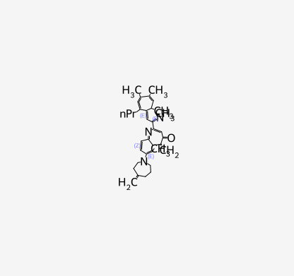 C=C1CCCN(C(/C=C\C2=NC(C(/C=C3/C(CCC)=C=C(C)C(C)=CC3C)=N/C)=CC(=O)C(=C)C2)=C/C)CC1